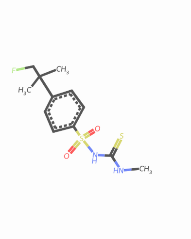 CNC(=S)NS(=O)(=O)c1ccc(C(C)(C)CF)cc1